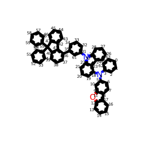 c1ccc(N(c2ccc3c(c2)oc2ccccc23)c2cccc3c2c2ccccc2n3-c2cccc(-c3cccc4c3-c3ccccc3C4(c3ccccc3)c3ccccc3)c2)cc1